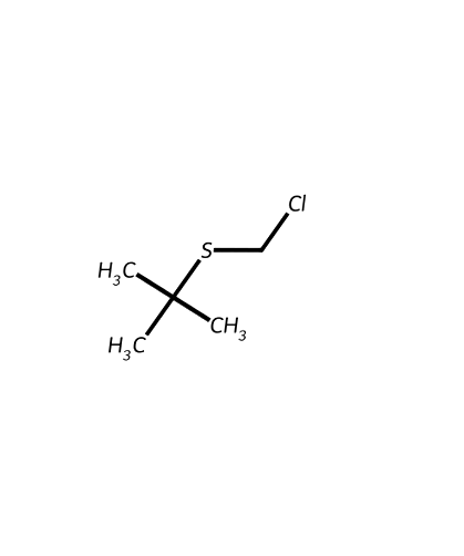 CC(C)(C)SCCl